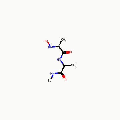 CCNC(=O)C(C)NC(=O)[C@H](C)NO